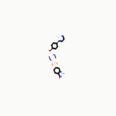 O=C(c1ccc(-c2ccc(=O)[nH]n2)cc1)N1CCN(S(=O)(=O)c2ccc3c(Br)n[nH]c3c2)CC1